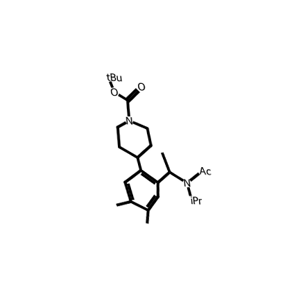 CC(=O)N(C(C)C)C(C)c1cc(C)c(C)cc1C1CCN(C(=O)OC(C)(C)C)CC1